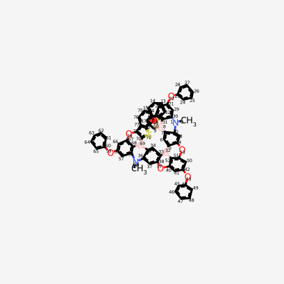 CN1c2cc3c(cc2B2c4sc5ccccc5c4Oc4cc(Oc5ccccc5)cc1c42)B1c2cc4c(cc2Oc2cc(Oc5ccccc5)cc(c21)O3)N(C)c1cc(Oc2ccccc2)cc2c1B4c1sc3ccccc3c1O2